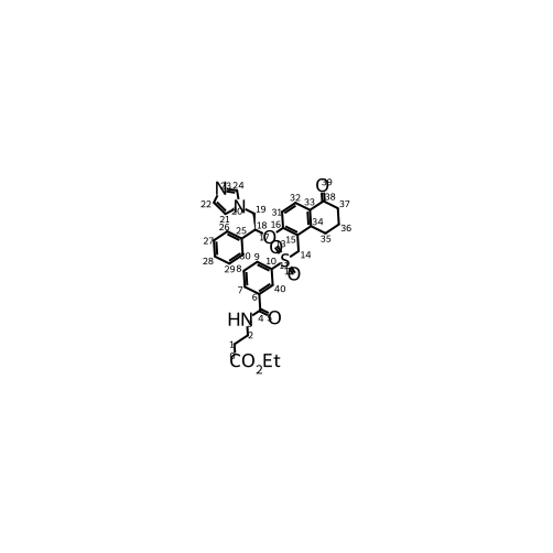 CCOC(=O)CCNC(=O)c1cccc(S(=O)(=O)Cc2c(O[C@H](Cn3ccnc3)c3ccccc3)ccc3c2CCCC3=O)c1